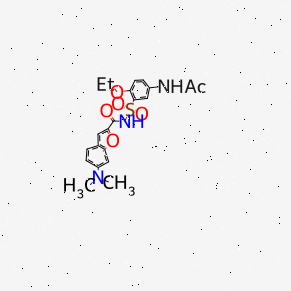 CCOc1ccc(NC(C)=O)cc1S(=O)(=O)NC(=O)c1cc2ccc(N(C)C)cc2o1